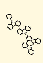 c1ccc(-n2c3ccccc3c3c(-c4cccc5c4c4ccccc4n5-c4cc(-c5cccc6c5oc5ccccc56)c5sc6ccccc6c5c4)cccc32)cc1